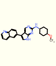 FC(F)(F)O[C@H]1CC[C@@H](Nc2ncc3c(-c4ccc5ncccc5c4)c[nH]c3n2)CC1